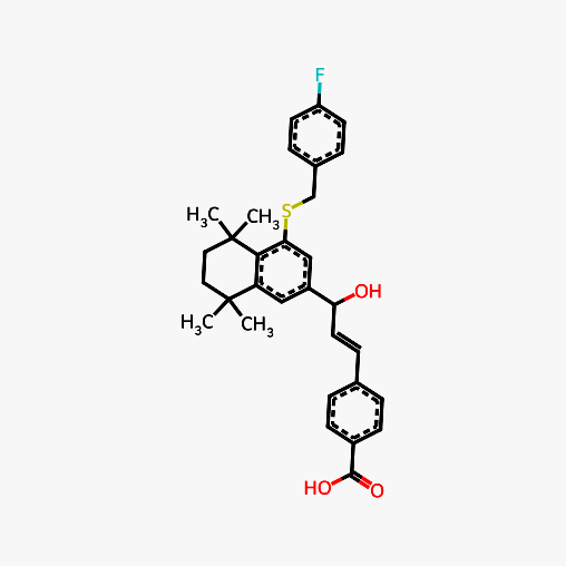 CC1(C)CCC(C)(C)c2c(SCc3ccc(F)cc3)cc(C(O)C=Cc3ccc(C(=O)O)cc3)cc21